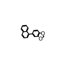 c1ccc2c(-c3ccc4c(c3)OCO4)cccc2c1